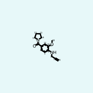 C#CCNc1ccc(C(=O)N2CCCC2)cc1OC